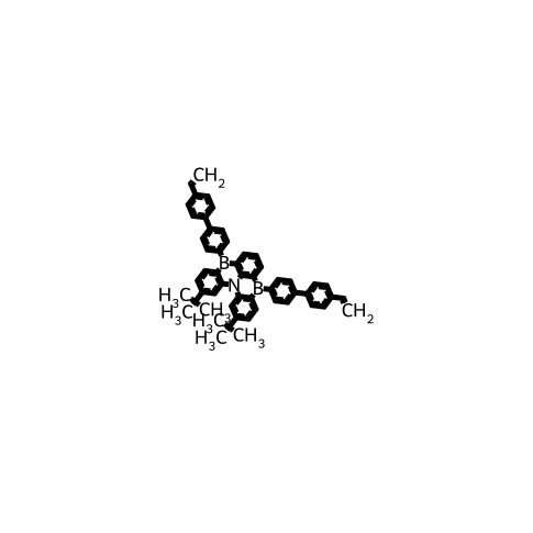 C=Cc1ccc(-c2ccc(B3c4ccc(C(C)(C)C)cc4N4c5cc(C(C)(C)C)ccc5B(c5ccc(-c6ccc(C=C)cc6)cc5)c5cccc3c54)cc2)cc1